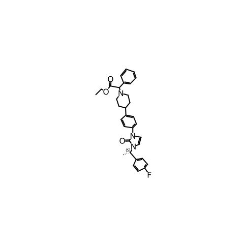 CCOC(=O)C(c1ccccc1)N1CCC(c2ccc(-n3ccn([C@@H](C)c4ccc(F)cc4)c3=O)cc2)CC1